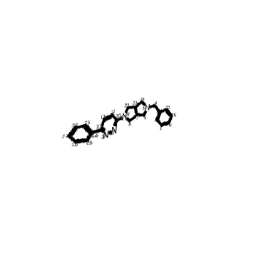 c1ccc(CN2CC3CN(c4ccc(-c5ccccc5)nn4)CC3C2)cc1